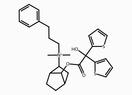 C[N+](C)(CCCc1ccccc1)C1CC2CCC1C2OC(=O)C(O)(c1cccs1)c1cccs1